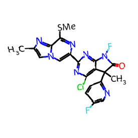 CSc1nc(-c2nc(Cl)c3c(n2)N(F)C(=O)C3(C)c2ccc(F)cn2)cn2cc(C)nc12